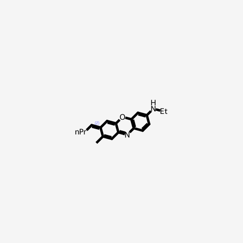 CCC/C=c1/cc2c(cc1C)=Nc1ccc(NCC)cc1O2